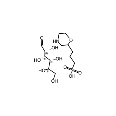 O=C[C@H](O)[C@@H](O)[C@H](O)[C@H](O)CO.O=S(=O)(O)CCCC1CNCCO1